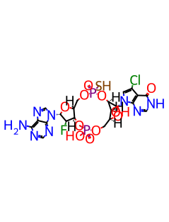 Nc1ncnc2c1ncn2[C@@H]1O[C@@H]2COP(=O)(S)O[C@@H]3[C@H](O)[C@H](COP(=O)(O)O[C@H]2[C@H]1F)O[C@H]3n1cc(Cl)c2c(=O)[nH]cnc21